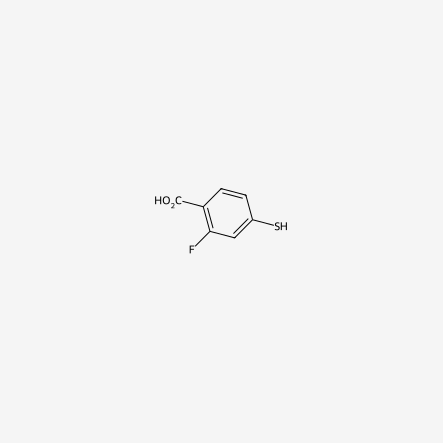 O=C(O)c1ccc(S)cc1F